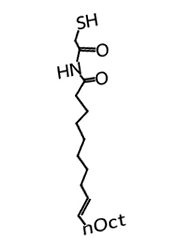 CCCCCCCCC=CCCCCCCCC(=O)NC(=O)CS